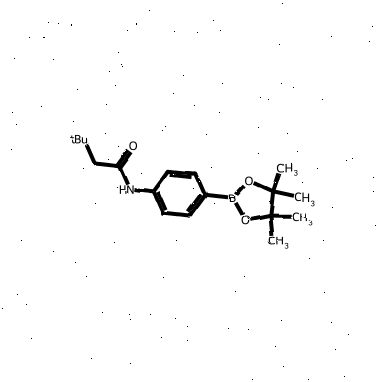 CC(C)(C)CC(=O)Nc1ccc(B2OC(C)(C)C(C)(C)O2)cc1